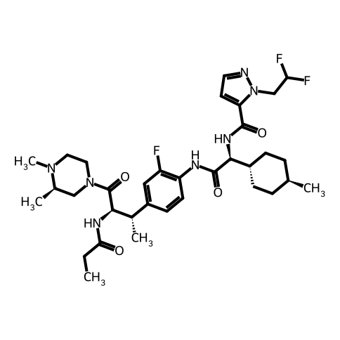 CCC(=O)N[C@@H](C(=O)N1CCN(C)[C@H](C)C1)[C@@H](C)c1ccc(NC(=O)[C@@H](NC(=O)c2ccnn2CC(F)F)[C@H]2CC[C@H](C)CC2)c(F)c1